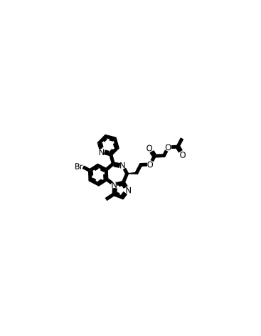 CC(=O)OCC(=O)OCC[C@@H]1N=C(c2ccccn2)c2cc(Br)ccc2-n2c(C)cnc21